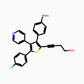 CC(=O)Nc1ccc(-c2c(C#CCCO)sc(-c3ccc(F)cc3)c2-c2ccncc2)cc1